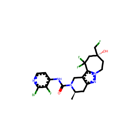 C[C@@H]1Cc2nn3c(c2CN1C(=O)Nc1ccnc(Br)c1F)C(F)(F)C[C@@](O)(CF)CC3